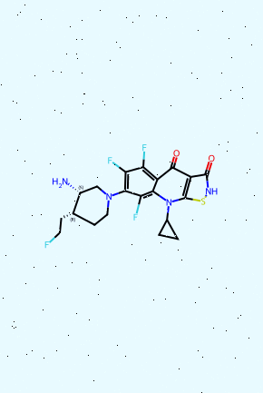 N[C@@H]1CN(c2c(F)c(F)c3c(=O)c4c(=O)[nH]sc4n(C4CC4)c3c2F)CC[C@@H]1CCF